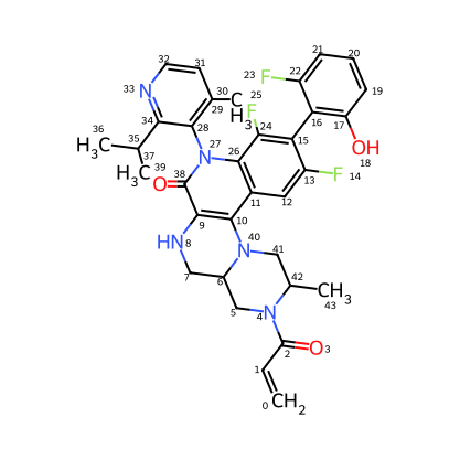 C=CC(=O)N1CC2CNc3c(c4cc(F)c(-c5c(O)cccc5F)c(F)c4n(-c4c(C)ccnc4C(C)C)c3=O)N2CC1C